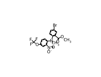 COC(=O)c1cc(Br)ccc1N(C)c1ccc(OC(F)(F)F)cc1[N+](=O)[O-]